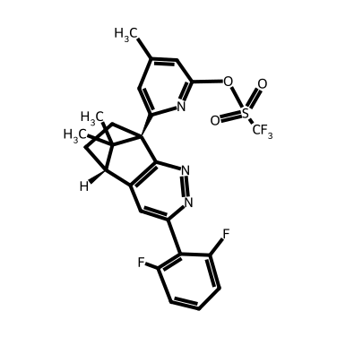 Cc1cc(OS(=O)(=O)C(F)(F)F)nc([C@@]23CC[C@@H](c4cc(-c5c(F)cccc5F)nnc42)C3(C)C)c1